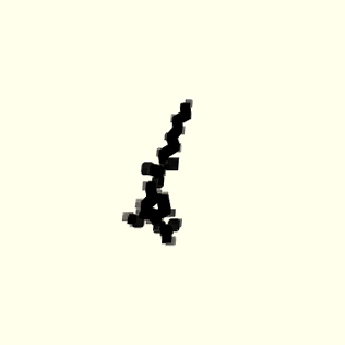 CCCCCCCNC(=O)OCc1ccc(OC(C)=O)c(OC)c1